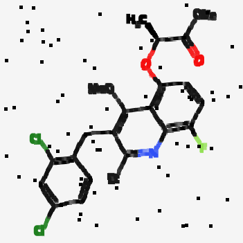 CCc1nc2c(F)ccc(O[C@@H](C)C(=O)OC)c2c(OC)c1Cc1ccc(Cl)cc1Cl